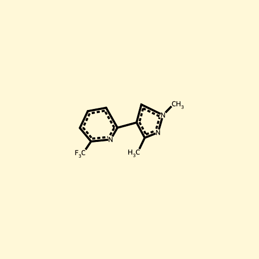 Cc1nn(C)cc1-c1cccc(C(F)(F)F)n1